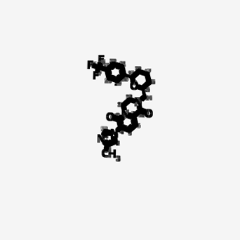 Cc1cn(-c2ccc3n(c2=O)CCN(C[C@@H]2CCC[C@H](c4ccc(C(F)(F)F)cc4)O2)C3=O)cn1